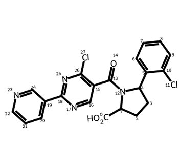 O=C(O)C1CCC(c2ccccc2Cl)N1C(=O)c1cnc(-c2cccnc2)nc1Cl